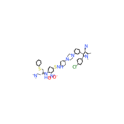 Cc1c(C#N)c(-c2cccc(N3CCN(C4=CC=C(NSc5ccc(N[C@H](CCN(C)C)CSc6ccccc6)c([N+](=O)[O-])c5)CC4)CC3)c2)c(-c2ccc(Cl)cc2)n1C